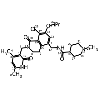 Cc1cc(C)c(CN2CCc3c(CNC(=O)C4CCN(C)CC4)cc(OC(C)C)c(Cl)c3C2=O)c(=O)[nH]1